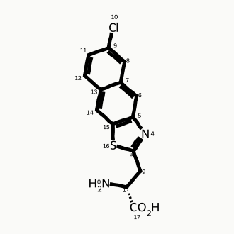 N[C@H](Cc1nc2cc3cc(Cl)ccc3cc2s1)C(=O)O